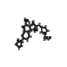 Nc1nc2cc(-n3cccn3)ccc2c2[nH]c(CC3CCN(C(=O)O)C3)nc12